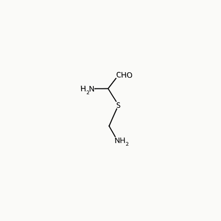 NCSC(N)C=O